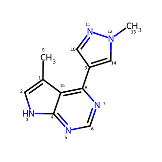 Cc1c[nH]c2ncnc(-c3cnn(C)c3)c12